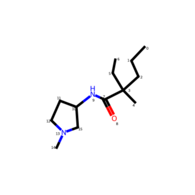 CCCC(C)(CC)C(=O)NC1CCN(C)C1